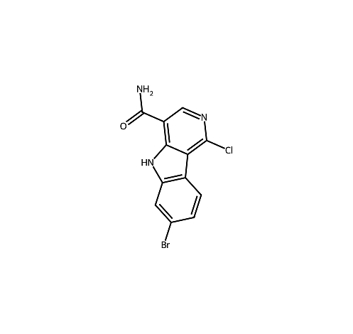 NC(=O)c1cnc(Cl)c2c1[nH]c1cc(Br)ccc12